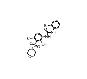 O=C(Nc1ccccc1Br)Nc1ccc(Cl)c(S(=O)(=O)N2CCOCC2)c1O